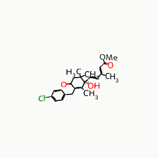 COC(=O)C=C(C)C=C[C@@]1(O)C(C)=C(Cc2ccc(Cl)cc2)C(=O)CC1(C)C